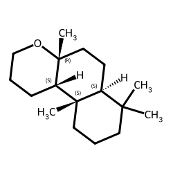 CC1(C)CCC[C@@]2(C)[C@H]1CC[C@@]1(C)OCCC[C@@H]21